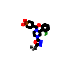 O=C(C1CCS(=O)(=O)CC1)N1CCN(c2nnc(C(F)(F)F)o2)CC1c1ccccc1F